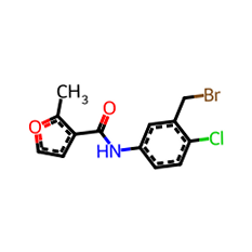 Cc1occc1C(=O)Nc1ccc(Cl)c(CBr)c1